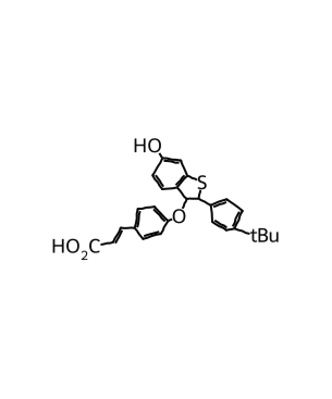 CC(C)(C)c1ccc(C2Sc3cc(O)ccc3C2Oc2ccc(/C=C/C(=O)O)cc2)cc1